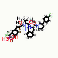 CC(C)(C)[C@H](NC(=O)c1cc2cc(C(F)(F)P(=O)(O)O)ccc2s1)C(=O)N1Cc2ccccc2C[C@H]1C(=O)N1CCCC(c2ccc(Cl)cc2)C1